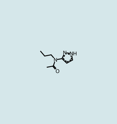 CCCN(C(C)=O)c1cc[nH]n1